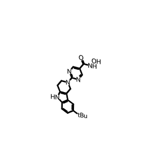 CC(C)(C)c1ccc2[nH]c3c(c2c1)CN(c1ncc(C(=O)NO)cn1)CC3